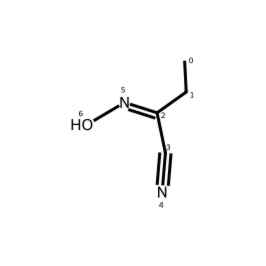 CCC(C#N)=NO